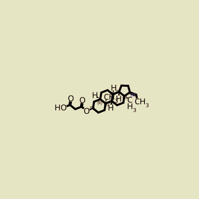 C/C=C1/CC[C@H]2[C@@H]3CC[C@@H]4C[C@H](OC(=O)CC(=O)O)CC[C@]4(C)[C@H]3CC[C@]12C